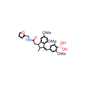 COc1ccc2c(c1)C(CC(=O)NCc1ccco1)C(C)/C2=C/c1cc(OC)c(B(O)O)c(OC)c1